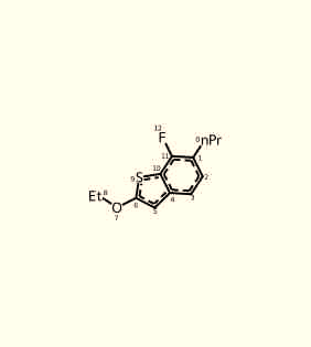 CCCc1ccc2cc(OCC)sc2c1F